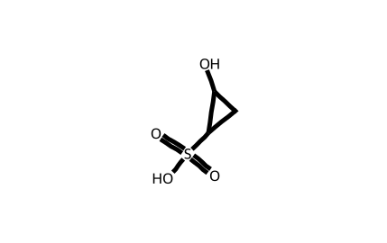 O=S(=O)(O)C1CC1O